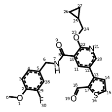 COc1ccc(CNC(=O)c2cc(-c3ccsc3C=O)cnc2OCC2CC2)cc1F